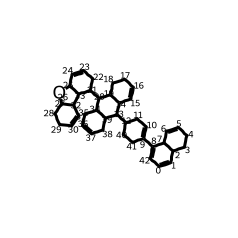 C1=CC2CCC=CC2C(C2=CCC(C3C4C=CCCC4C(C4CC=CC5OC6CCC=CC6C54)C4CC=CCC43)CC2)=C1